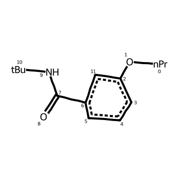 CCCOc1cccc(C(=O)NC(C)(C)C)c1